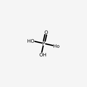 O=[P](O)(O)[Ho]